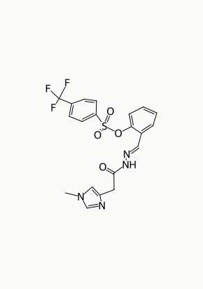 Cn1cnc(CC(=O)N/N=C/c2ccccc2OS(=O)(=O)c2ccc(C(F)(F)F)cc2)c1